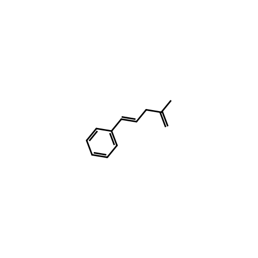 C=C(C)CC=Cc1ccccc1